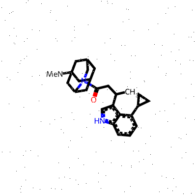 CNC12CC3CC(CN(C(=O)CC(C)c4c[nH]c5cccc(C6CC6)c45)C(C3)C1)C2